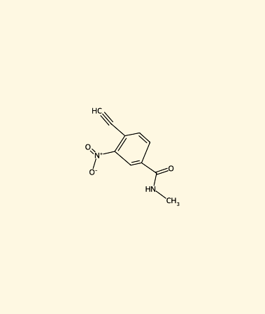 C#Cc1ccc(C(=O)NC)cc1[N+](=O)[O-]